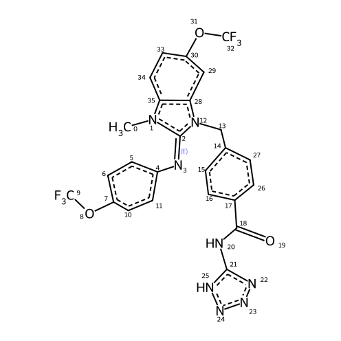 Cn1/c(=N\c2ccc(OC(F)(F)F)cc2)n(Cc2ccc(C(=O)Nc3nnn[nH]3)cc2)c2cc(OC(F)(F)F)ccc21